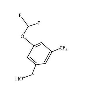 O[CH]c1cc(OC(F)F)cc(C(F)(F)F)c1